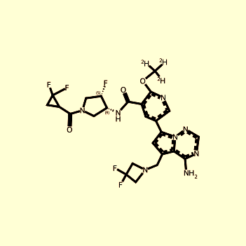 [2H]C([2H])([2H])Oc1ncc(-c2cc(CN3CC(F)(F)C3)c3c(N)ncnn23)cc1C(=O)N[C@@H]1CN(C(=O)C2CC2(F)F)C[C@@H]1F